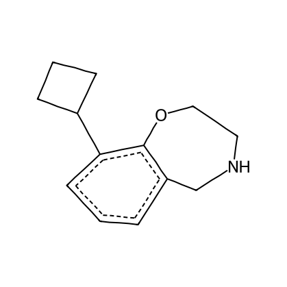 c1cc2c(c(C3CCC3)c1)OCCNC2